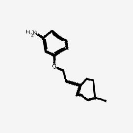 CC1CCC(CCOc2cccc(N)c2)CC1